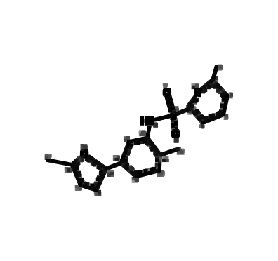 Cc1cccc(S(=O)(=O)Nc2cc(-c3ccc(C)o3)ccc2C)n1